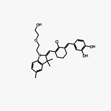 Cc1ccc2c(c1)C(C)(C)/C(=C\C1=C(Cl)C(=C/c3ccc(O)c(O)c3)/CCC1)N2CCOCCO